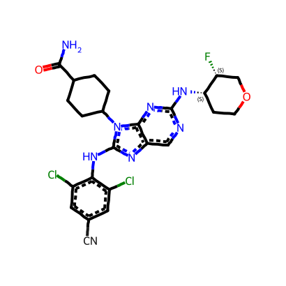 N#Cc1cc(Cl)c(Nc2nc3cnc(N[C@H]4CCOC[C@H]4F)nc3n2C2CCC(C(N)=O)CC2)c(Cl)c1